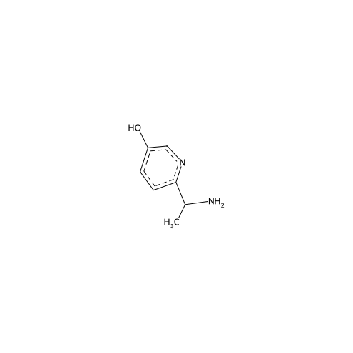 CC(N)c1ccc(O)cn1